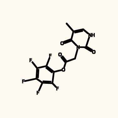 Cc1c[nH]c(=O)n(CC(=O)Oc2c(F)c(F)c(F)c(F)c2F)c1=O